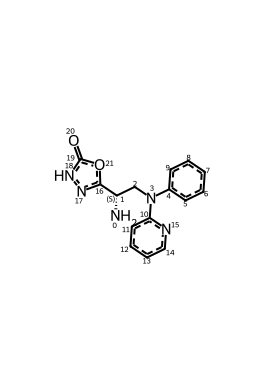 N[C@@H](CN(c1ccccc1)c1ccccn1)c1n[nH]c(=O)o1